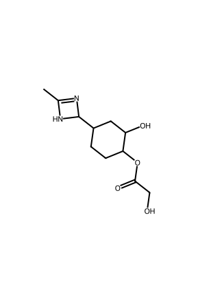 CC1=NC(C2CCC(OC(=O)CO)C(O)C2)N1